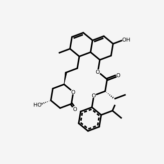 CC[C@H](Oc1ccccc1C(C)C)C(=O)OC1CC(O)C=C2C=CC(C)C(CC[C@@H]3C[C@@H](O)CC(=O)O3)C21